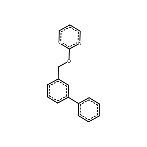 [c]1ccnc(OCc2cccc(-c3ccccc3)c2)n1